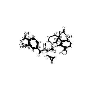 O=C1Nc2ccc(Cl)c(F)c2[C@@]2(CCCN(C(=O)[C@H](CC3CC3)NC(=O)c3ccc4c(O)n[nH]c4c3)C2)O1